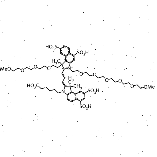 COCCOCCOCCOCCOCCOCC[N+]1=C(/C=C/C=C2/N(CCCCCC(=O)O)c3ccc4c(S(=O)(=O)O)cc(S(=O)(=O)O)cc4c3C2(C)C)C(C)(CCOCCOCCOCCOC)c2c1cc(S(=O)(=O)O)c1ccc(S(=O)(=O)O)cc21